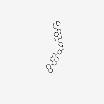 c1ccc2c(-c3ccc4ccc5c(-c6ccc7sc8ccc(-c9ccc%10ccc%11c(-c%12cccc%13ccccc%12%13)ccc%12ccc9c%10c%12%11)cc8c7c6)ccc6ccc3c4c65)cccc2c1